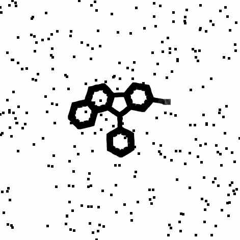 N#Cc1ccc2c(c1)C(c1ccccc1)c1c-2ccc2ccccc12